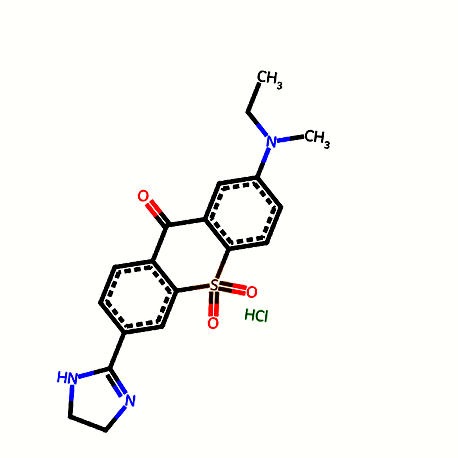 CCN(C)c1ccc2c(c1)C(=O)c1ccc(C3=NCCN3)cc1S2(=O)=O.Cl